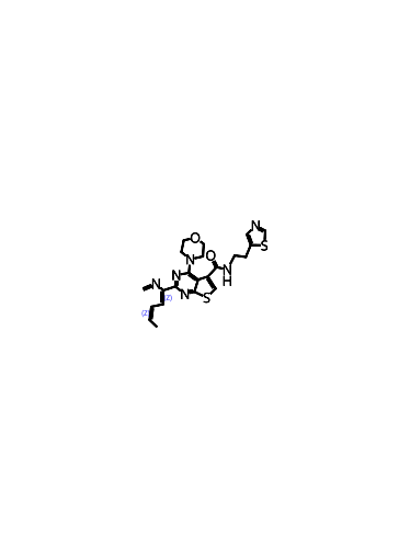 C=N/C(=C\C=C/C)c1nc(N2CCOCC2)c2c(C(=O)NCCc3cncs3)csc2n1